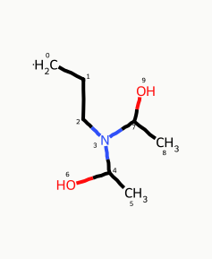 [CH2]CCN(C(C)O)C(C)O